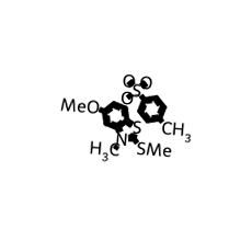 COc1ccc2sc(SC)[n+](C)c2c1.Cc1ccc(S(=O)(=O)[O-])cc1